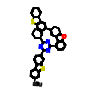 CCCCc1ccc2c(c1)sc1cc(-c3nc(-c4cccc5oc6c(c45)C=C(c4ccc5c(c4)C4C=CC=CC4S5)CC6)nc(C4C=CCCC4)n3)ccc12